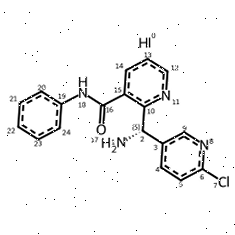 I.N[C@@H](c1ccc(Cl)nc1)c1ncccc1C(=O)Nc1ccccc1